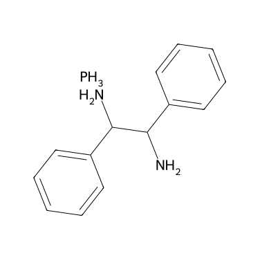 NC(c1ccccc1)C(N)c1ccccc1.P